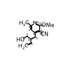 C=CC(CO)Cc1cc(C)nc(OC)c1C#N